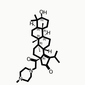 CC(C)C1=C2[C@H]3CC[C@@H]4[C@@]5(C)CC[C@H](O)C(C)(C)[C@@H]5CC[C@@]4(C)[C@]3(C)CC[C@@]2(C(=O)CN2CCN(C)CC2)CC1=O